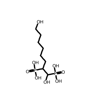 O=P(O)(O)C(O)C(CCCCCCO)P(=O)(O)O